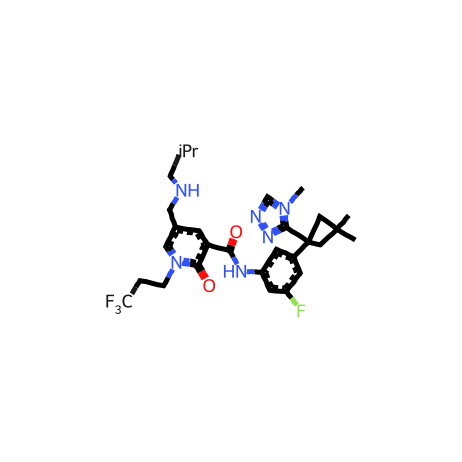 CC(C)CNCc1cc(C(=O)Nc2cc(F)cc(C3(c4nncn4C)CC(C)(C)C3)c2)c(=O)n(CCC(F)(F)F)c1